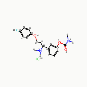 CN(C)C(=O)Oc1cccc(C(CCOc2ccc(F)cc2)N(C)C)c1.Cl